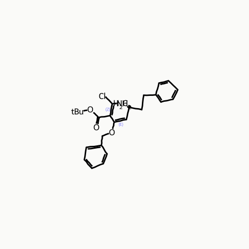 C=C(/C=C(OCc1ccccc1)\C(C(=O)OC(C)(C)C)=C(/N)Cl)CCc1ccccc1